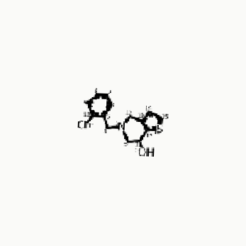 OC1CN(Cc2ccccc2Cl)Cc2ccsc21